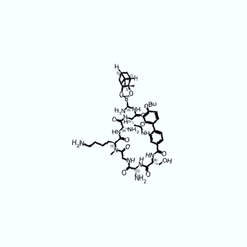 CCCCc1ccc(-c2ccc(C(=O)N[C@H](CO)C(=O)N[C@H](N)C(=O)NCC(=O)N(C)[C@@H](CCCCN)C(=O)N[C@@H](N)C(=O)N[C@@H](CC(N)=O)C(=O)N[C@@H](N)B3OC4C[C@@H]5C[C@@H](C5(C)C)[C@]4(C)O3)cc2)cc1